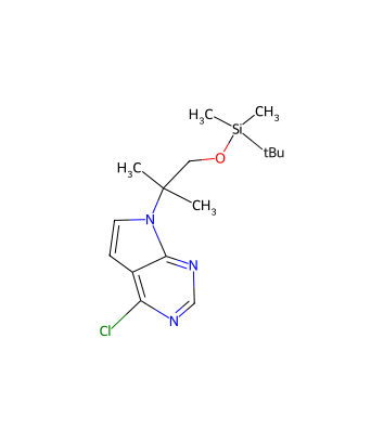 CC(C)(CO[Si](C)(C)C(C)(C)C)n1ccc2c(Cl)ncnc21